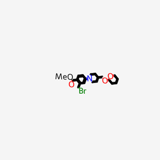 COC(=O)c1ccc(N2CCC(COC3CCCCO3)CC2)cc1CBr